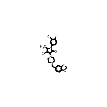 C=C1C(Cl)=C(N2CCN(Cc3ccc4c(c3)OCO4)CC2)C(=O)N1c1ccc(Cl)c(Cl)c1